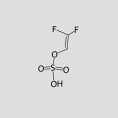 O=S(=O)(O)OC=C(F)F